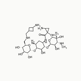 CN[C@@H]1[C@@H](O)[C@@H](O[C@H]2[C@H](NC(=O)C3(O)CC3N)C[C@H](N)C(O[C@H]3O[C@H](CNCC4CC(N)C4)[C@@H](O)[C@H](O)[C@H]3O)[C@@H]2O)OC[C@]1(C)O